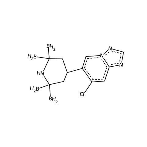 BC1(B)CC(c2cn3ncnc3cc2Cl)CC(B)(B)N1